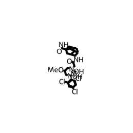 COC1CN(CC(=O)NC2C3CC4CC2CC(C(N)=O)(C4)C3)S(O)(O)N(c2c(Cl)cc(Cl)cc2Cl)C1